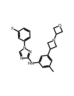 Cc1cc(Nc2ncn(-c3cccc(F)c3)n2)cc(C2CN(C3COC3)C2)c1